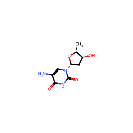 C[C@H]1O[C@@H](n2cc(N)c(=O)[nH]c2=O)C[C@@H]1O